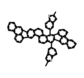 Cc1cc2cc(-c3c4c(c(-c5ccc6sc(C)cc6c5)c5c3ccc3c6cc7c(cc6ccc35)-c3cc5ccccc5c5cccc-7c35)-c3cccc5c3c-4cc3ccccc35)ccc2s1